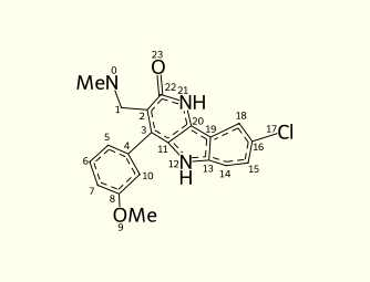 CNCc1c(-c2cccc(OC)c2)c2[nH]c3ccc(Cl)cc3c2[nH]c1=O